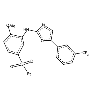 CCS(=O)(=O)c1ccc(OC)c(Nc2ncc(-c3cccc(C(F)(F)F)c3)o2)c1